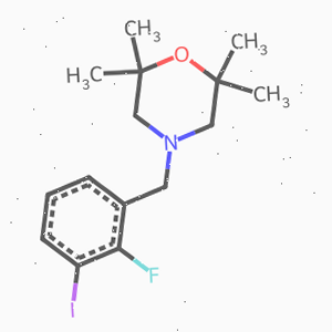 CC1(C)CN(Cc2cccc(I)c2F)CC(C)(C)O1